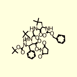 CC(C)(C)C[C@H](NC(=O)[C@@H](CC(C)(C)C)NC(=O)OCc1ccccc1)C(=O)N[C@H](C(=O)ON1C(=O)CCC1=O)[C@H](NC(=O)OC(C)(C)C)c1ccccc1